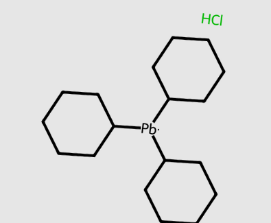 C1CC[CH]([Pb]([CH]2CCCCC2)[CH]2CCCCC2)CC1.Cl